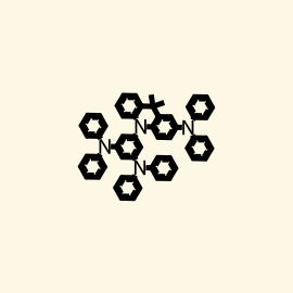 CC1(C)c2ccccc2N(c2cc(N(c3ccccc3)c3ccccc3)cc(N(c3ccccc3)c3ccccc3)c2)c2ccc(N(c3ccccc3)c3ccccc3)cc21